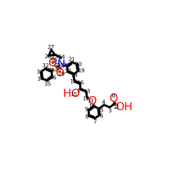 O=C(O)CCc1ccccc1OCC[C@@H](O)/C=C/c1cccc(N(CC2CC2)S(=O)(=O)c2ccccc2)c1